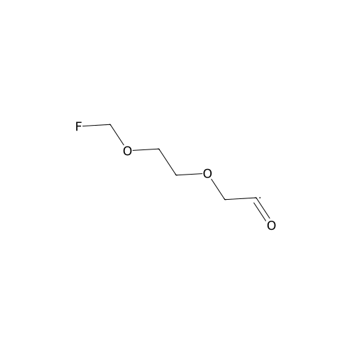 O=[C]COCCOCF